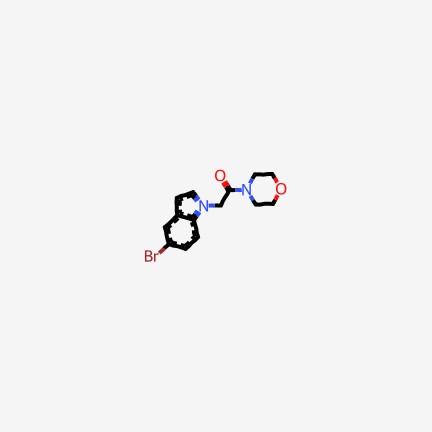 O=C(Cn1ccc2cc(Br)ccc21)N1CCOCC1